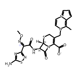 CO/N=C(\C(=O)N[C@@H]1C(=O)N2C(C(=O)[O-])=C(Cn3cc[n+]4cccc-4c3C)CS[C@@H]12)c1nsc(N)n1